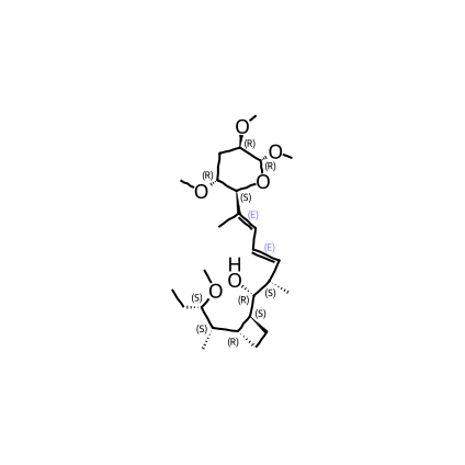 CC[C@H](OC)[C@@H](C)[C@H]1CC[C@@H]1[C@H](O)[C@@H](C)/C=C/C=C(\C)[C@@H]1O[C@@H](OC)[C@H](OC)C[C@H]1OC